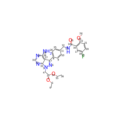 CCOC(Cn1nc(-c2ccc(CNC(=O)c3cc(F)ccc3OC)cc2)c2c(N)ncnc21)OCC